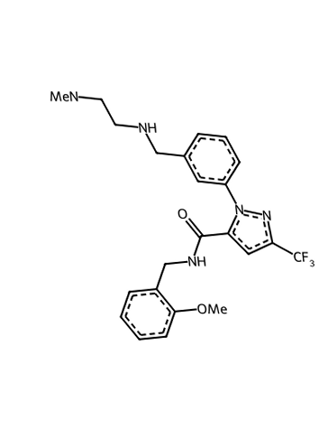 CNCCNCc1cccc(-n2nc(C(F)(F)F)cc2C(=O)NCc2ccccc2OC)c1